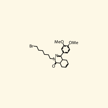 COc1ccc(C2=NN(CCCCCCBr)C(=O)C3CC=CCC23)cc1OC